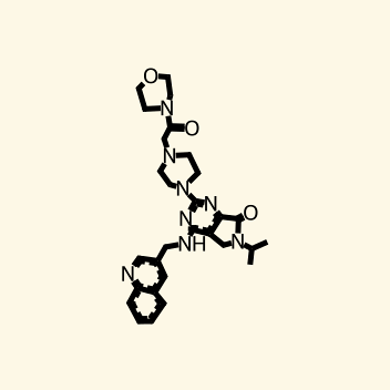 CC(C)N1Cc2c(NCc3cnc4ccccc4c3)nc(N3CCN(CC(=O)N4CCOCC4)CC3)nc2C1=O